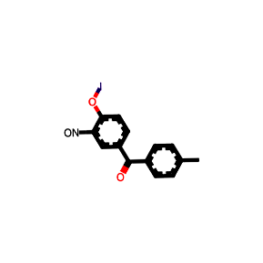 Cc1ccc(C(=O)c2ccc(OI)c(N=O)c2)cc1